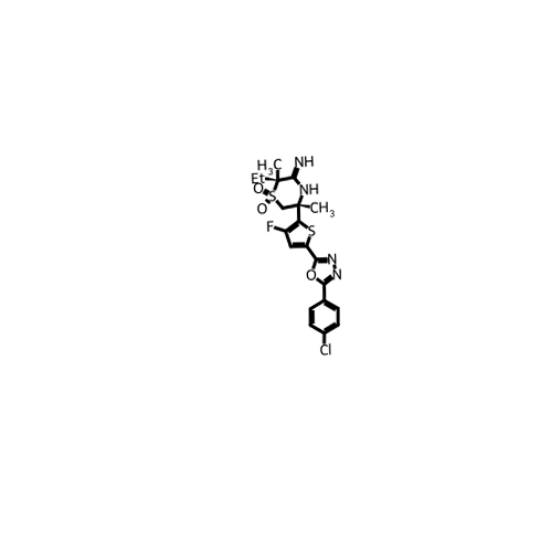 CC[C@@]1(C)C(=N)N[C@](C)(c2sc(-c3nnc(-c4ccc(Cl)cc4)o3)cc2F)CS1(=O)=O